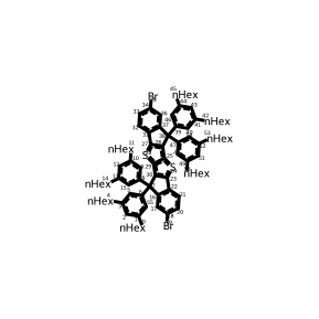 CCCCCCc1cc(CCCCCC)cc(C2(c3cc(CCCCCC)cc(CCCCCC)c3)c3cc(Br)ccc3-c3sc4c5c(sc4c32)-c2ccc(Br)cc2C5(c2cc(CCCCCC)cc(CCCCCC)c2)c2cc(CCCCCC)cc(CCCCCC)c2)c1